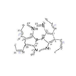 C=Nc1c(/C=C\C)c(/C=C\C)c(N=C)p1-p1c(N=C)c(/C=C\C)c(/C=C\C)c1N=C